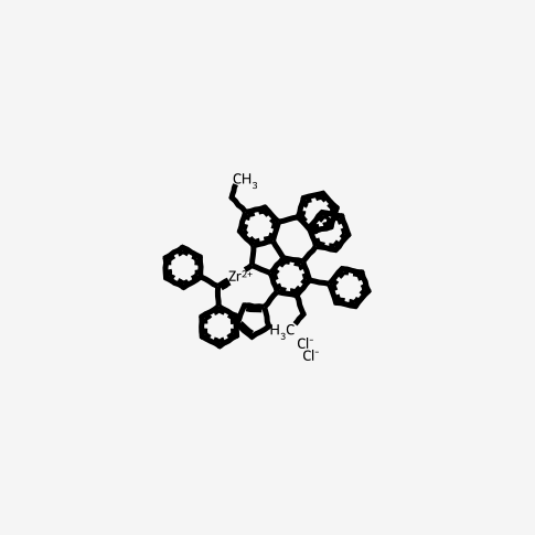 CCc1cc(-c2ccccc2)c2c(c1)[CH]([Zr+2]=[C](c1ccccc1)c1ccccc1)c1c(C3=CC=CC3)c(CC)c(-c3ccccc3)c(-c3ccccc3)c1-2.[Cl-].[Cl-]